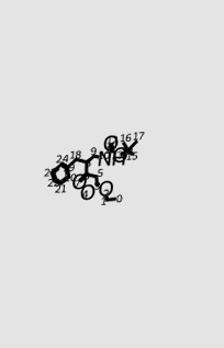 CCOC(=O)CC(=O)C(CNC(=O)OC(C)(C)C)Cc1ccccc1